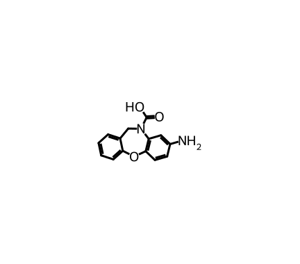 Nc1ccc2c(c1)N(C(=O)O)Cc1ccccc1O2